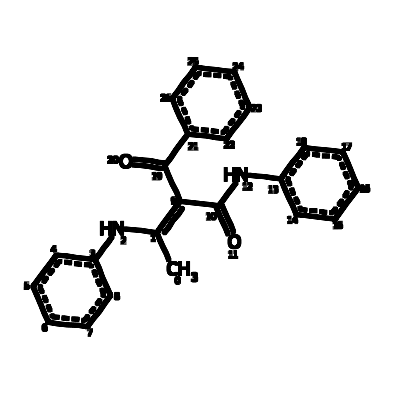 CC(Nc1ccccc1)=C(C(=O)Nc1ccccc1)C(=O)c1ccccc1